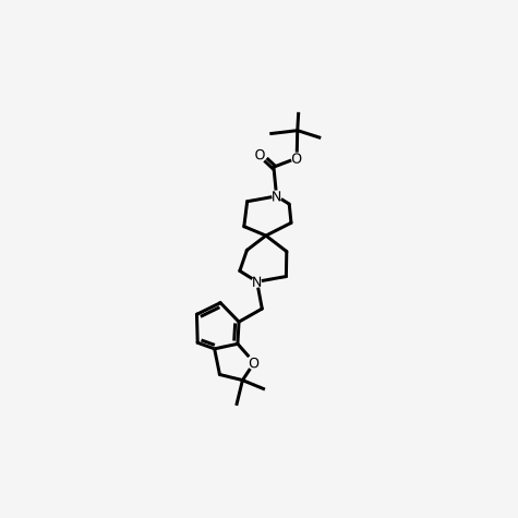 CC(C)(C)OC(=O)N1CCC2(CCN(Cc3cccc4c3OC(C)(C)C4)CC2)CC1